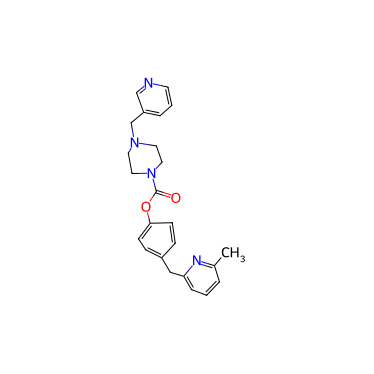 Cc1cccc(Cc2ccc(OC(=O)N3CCN(Cc4cccnc4)CC3)cc2)n1